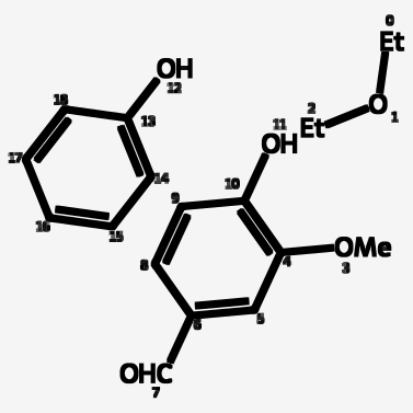 CCOCC.COc1cc(C=O)ccc1O.Oc1ccccc1